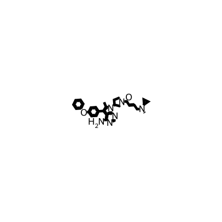 Cc1c(-c2ccc(Oc3ccccc3)cc2)c2c(N)ncnc2n1C1CCN(C(=O)/C=C/CN(C)C2CC2)C1